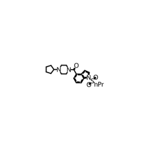 CCCS(=O)(=O)n1ccc2c(C(=O)N3CCN(C4CCCC4)CC3)cccc21